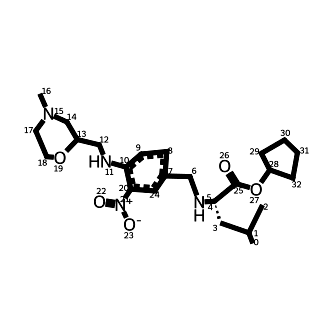 CC(C)C[C@H](NCc1ccc(NCC2CN(C)CCO2)c([N+](=O)[O-])c1)C(=O)OC1CCCC1